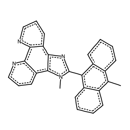 Cc1c2ccccc2c(-c2nc3c4cccnc4c4ncccc4c3n2C)c2ccccc12